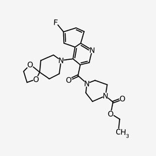 CCOC(=O)N1CCN(C(=O)c2cnc3ccc(F)cc3c2N2CCC3(CC2)OCCO3)CC1